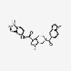 Cn1ccc2cc(C(=O)N3CCc4c(C(=O)Nc5ccc6[nH]ncc6c5)n[nH]c4C3)ccc21